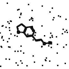 CCO/C=C/c1ccc2c(c1)OCC2